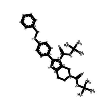 CC(C)(C)OC(=O)N1CCc2nc(-c3ccc(OCc4ccccc4)cc3)n(C(=O)OC(C)(C)C)c2C1